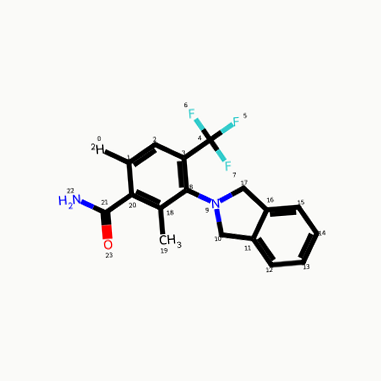 [2H]c1cc(C(F)(F)F)c(N2Cc3ccccc3C2)c(C)c1C(N)=O